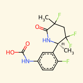 CC1(F)CC(F)(F)[C@@](C)(c2cc(NC(=O)O)ccc2F)NC1=O